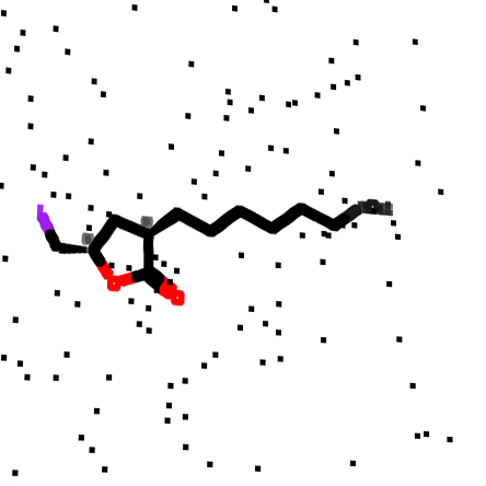 CCCCCCCCCCCCCC[C@@H]1C[C@@H](CI)OC1=O